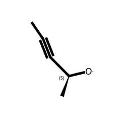 CC#C[C@H](C)[O]